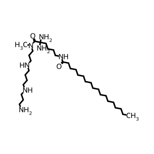 CCCCCCCCCCCCCCCCCC(=O)NCCCCC(N)(N)C(=O)N(C)CCCNCCCCNCCCN